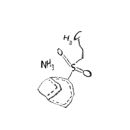 CCS(=O)(=O)c1ccc2cc1C2.N